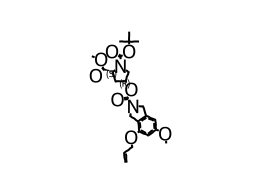 C=CCOc1cc(OC)cc2c1CN(C(=O)O[C@@H]1C[C@@H](C(=O)OC)N(C(=O)OC(C)(C)C)C1)C2